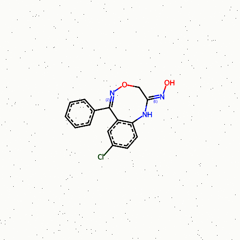 O/N=C1\CO/N=C(/c2ccccc2)c2cc(Cl)ccc2N1